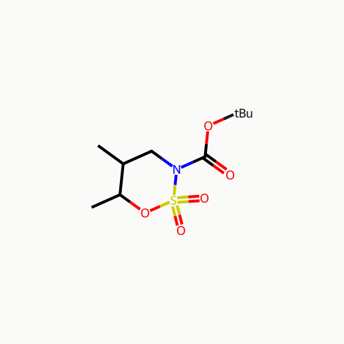 CC1CN(C(=O)OC(C)(C)C)S(=O)(=O)OC1C